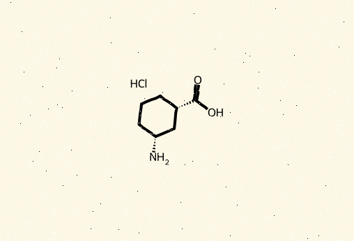 Cl.N[C@@H]1CCC[C@H](C(=O)O)C1